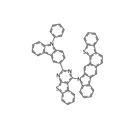 c1ccc(-n2c3ccccc3c3cc(-c4nc(-n5c6ccccc6c6cc7ccc8c9ccccc9sc8c7cc65)c5c(n4)sc4ccccc45)ccc32)cc1